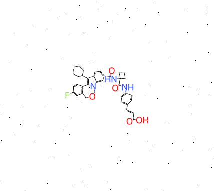 O=C(O)C=Cc1ccc(NC(=O)C2(NC(=O)c3ccc4c(C5CCCCC5)c5n(c4c3)COCc3cc(F)ccc3-5)CCC2)cc1